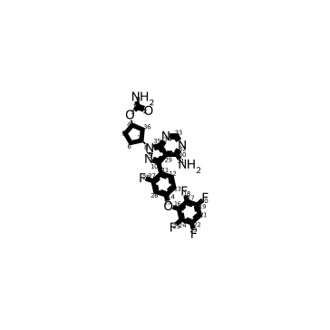 NC(=O)O[C@H]1CC[C@@H](n2nc(-c3ccc(Oc4c(F)c(F)cc(F)c4F)cc3F)c3c(N)ncnc32)C1